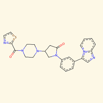 O=C(c1nccs1)N1CCN(C2CC(=O)N(c3cccc(-c4cnc5ccccn45)c3)C2)CC1